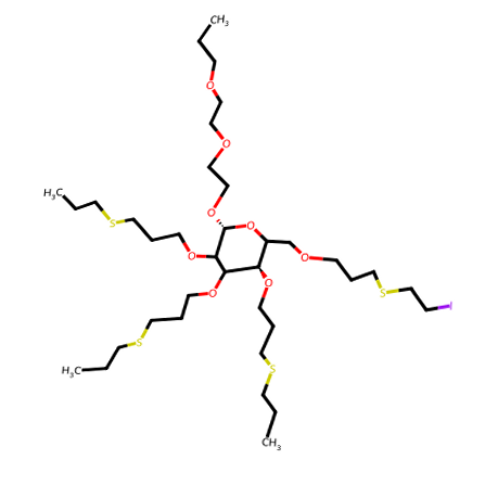 CCCOCCOCCO[C@@H]1OC(COCCCSCCI)[C@@H](OCCCSCCC)C(OCCCSCCC)C1OCCCSCCC